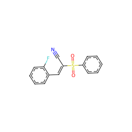 N#CC(=Cc1ccccc1F)S(=O)(=O)c1ccccc1